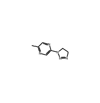 Cc1cnc(N2CCN=N2)cn1